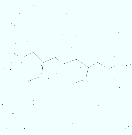 CCCOCC(COCC(COCC)OCCC)OCCC